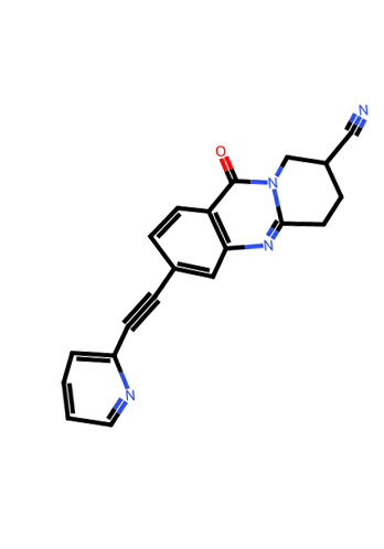 N#CC1CCc2nc3cc(C#Cc4ccccn4)ccc3c(=O)n2C1